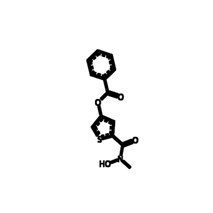 CN(O)C(=O)c1cc(OC(=O)c2ccccc2)cs1